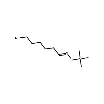 C[Si](C)(C)ON=CCCCCCC#N